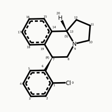 Clc1ccccc1[C@@H]1CN2CCC[C@H]2c2ccccc21